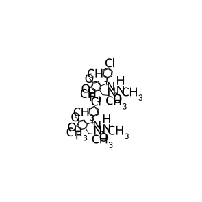 CNC(=O)N1N=C(c2ccc(Cl)cc2)c2cc(OC)c(OC)c(F)c2CC1C.CNC(=O)N1N=C(c2ccc(Cl)cc2)c2cc(OC)c(OC)c(F)c2C[C@H]1C